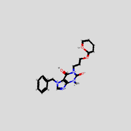 CC(C)n1c(=O)n(CCCOC2CCCCO2)c(=O)c2c1ncn2Cc1ccccc1